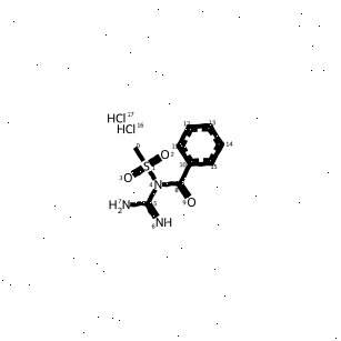 CS(=O)(=O)N(C(=N)N)C(=O)c1ccccc1.Cl.Cl